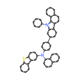 c1ccc(-n2c3cc(-c4ccc(N(c5ccc6sc7ccccc7c6c5)c5cccc6ccccc56)cc4)ccc3c3ccc4ccccc4c32)cc1